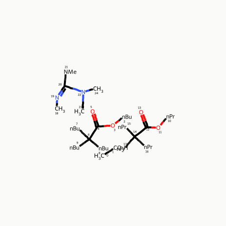 CC(=O)O.CCCCOC(=O)C(CCCC)(CCCC)CCCC.CCCOC(=O)C(CCC)(CCC)CCC.CN=C(NC)N(C)C